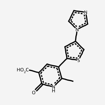 Cc1[nH]c(=O)c(C(=O)O)cc1-c1cc(-n2ccnc2)cs1